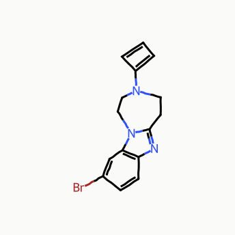 Brc1ccc2nc3n(c2c1)CCN(C1=CC=C1)CC3